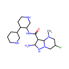 CN1CC(F)CN2NC(N)C(C(=O)NC3CNCCC3C3CCCNC3)C12